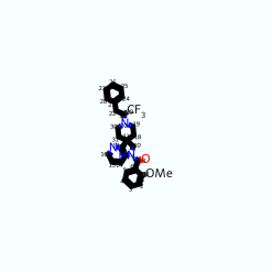 COc1ccccc1C(=O)NCC1(c2ccccn2)CCN(C(Cc2ccccc2)C(F)(F)F)CC1